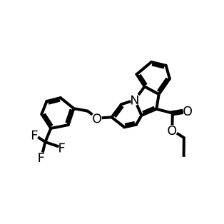 CCOC(=O)c1c2ccccc2n2cc(OCc3cccc(C(F)(F)F)c3)ccc12